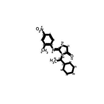 Cc1cc([N+](=O)[O-])ccc1N=C1SCC(=O)N1C(C)C1CCCCC1